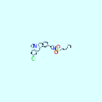 O=S(=O)(CC=CC1CCC1)N1CC(c2ccc3c(c2)C(Cc2cccc(Cl)c2)C(N2CCC2)C3)C1